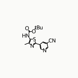 Cc1nc(-c2cncc(C#N)c2)sc1NC(=O)OC(C)(C)C